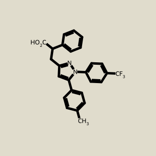 Cc1ccc(-c2cc(CC(C(=O)O)c3ccccc3)nn2-c2ccc(C(F)(F)F)cc2)cc1